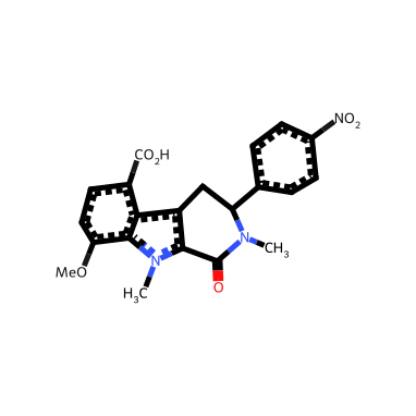 COc1ccc(C(=O)O)c2c3c(n(C)c12)C(=O)N(C)C(c1ccc([N+](=O)[O-])cc1)C3